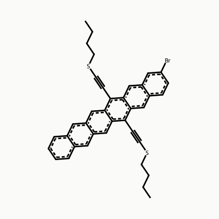 CCCCSC#Cc1c2cc3ccc(Br)cc3cc2c(C#CSCCCC)c2cc3cc4ccccc4cc3cc12